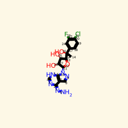 N/N=c1/nc[nH]c2c1cnn2[C@@H]1O[C@@]2(C[C@@]2(O)c2ccc(Cl)c(F)c2)[C@@H](O)[C@H]1O